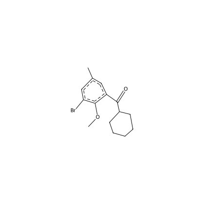 COc1c(Br)cc(C)cc1C(=O)C1CCCCC1